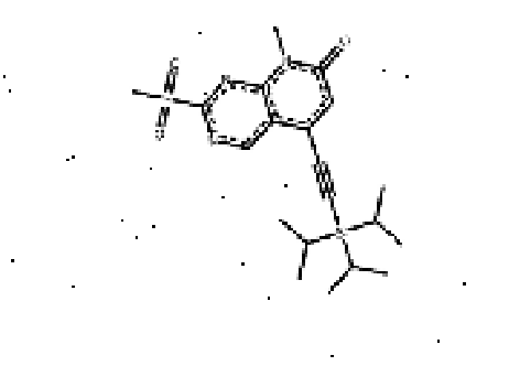 CC(C)[Si](C#Cc1cc(=O)n(C)c2nc(S(C)(=O)=O)ncc12)(C(C)C)C(C)C